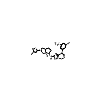 Cc1cc(N2CC3CC[C@@H](Nc4nc5n(n4)CCCC5c4cc(F)cc(C(F)(F)F)c4)[C@@H]3C2)sn1